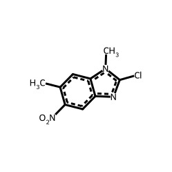 Cc1cc2c(cc1[N+](=O)[O-])nc(Cl)n2C